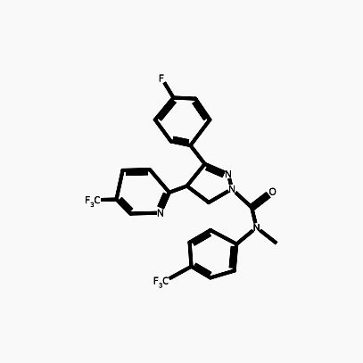 CN(C(=O)N1CC(c2ccc(C(F)(F)F)cn2)C(c2ccc(F)cc2)=N1)c1ccc(C(F)(F)F)cc1